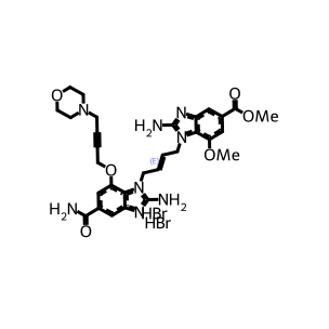 Br.Br.COC(=O)c1cc(OC)c2c(c1)nc(N)n2C/C=C/Cn1c(N)nc2cc(C(N)=O)cc(OCC#CCN3CCOCC3)c21